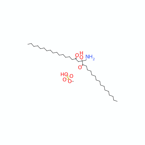 CCCCCCCCCCCCCCCC(=O)CC(O)(CN)C(=O)CCCCCCCCCCCCCCC.COS(=O)(=O)O